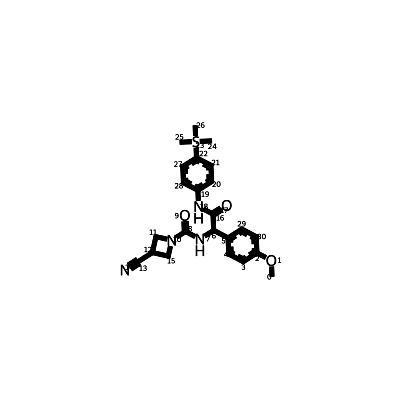 COc1ccc(C(NC(=O)N2CC(C#N)C2)C(=O)Nc2ccc(S(C)(C)C)cc2)cc1